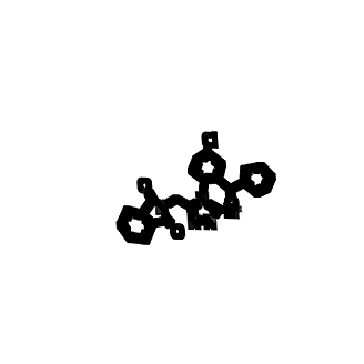 O=C(c1ccccc1)c1cc(Cl)ccc1-n1c(Br)nnc1CN1C(=O)c2ccccc2C1=O